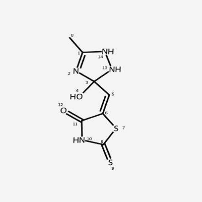 CC1=NC(O)(C=C2SC(=S)NC2=O)NN1